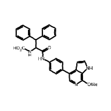 COc1ncc(-c2ccc(NC(=O)C(NC(=O)O)C(c3ccccc3)c3ccccc3)cc2)c2cc[nH]c12